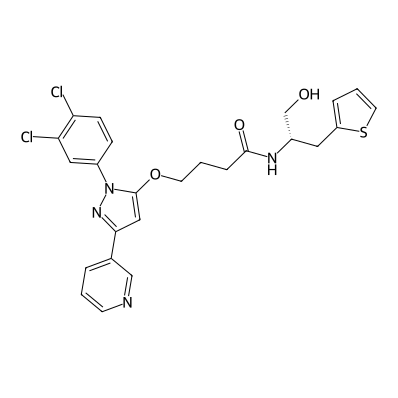 O=C(CCCOc1cc(-c2cccnc2)nn1-c1ccc(Cl)c(Cl)c1)N[C@H](CO)Cc1cccs1